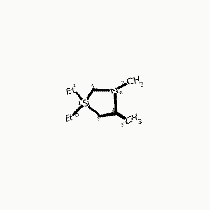 CC[Si]1(CC)CC(C)N(C)C1